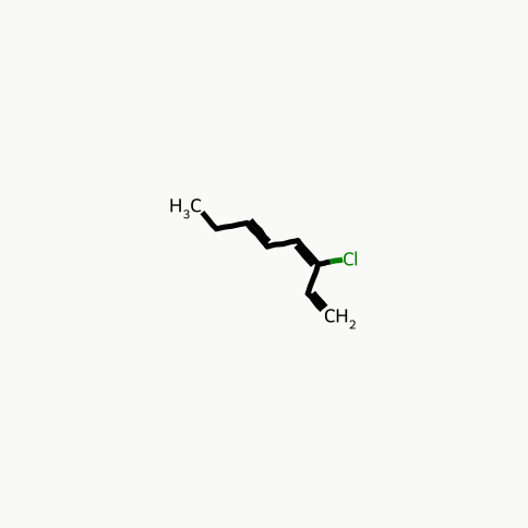 C=C/C(Cl)=C\C=C\CC